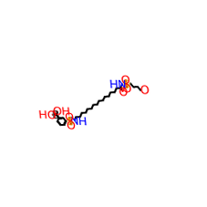 O=CCCCS(=O)(=O)NC(=O)CCCCCCCCCCCCCCCNS(=O)(=O)c1cccc(B(O)O)c1